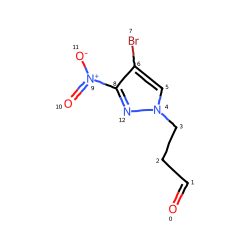 O=CCCn1cc(Br)c([N+](=O)[O-])n1